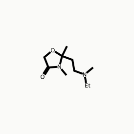 CCN(C)CCC1(C)OCC(=O)N1C